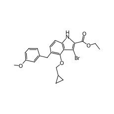 CCOC(=O)c1[nH]c2ccc(Cc3cccc(OC)c3)c(OCC3CC3)c2c1Br